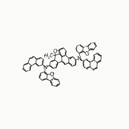 CC1(C)c2cc(N(c3ccc4ccc5ccccc5c4c3)c3cccc4c3oc3ccccc34)ccc2-c2cc3ccc(N(c4ccc5ccc6ccccc6c5c4)c4cccc5c4oc4ccccc45)cc3c3cccc1c23